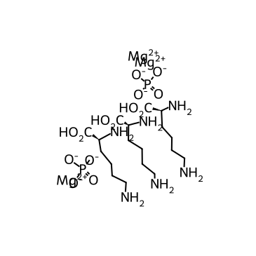 NCCCC[C@H](N)C(=O)O.NCCCC[C@H](N)C(=O)O.NCCCC[C@H](N)C(=O)O.O=P([O-])([O-])[O-].O=P([O-])([O-])[O-].[Mg+2].[Mg+2].[Mg+2]